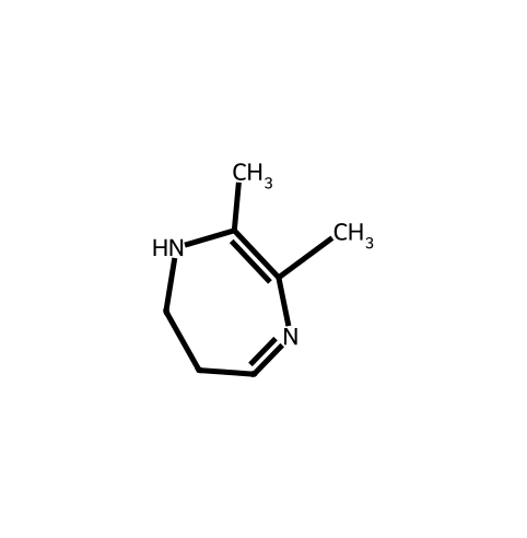 CC1=C(C)NCCC=N1